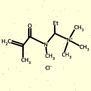 C=C(C)C(=O)N(C)C(CC)[N+](C)(C)C.[Cl-]